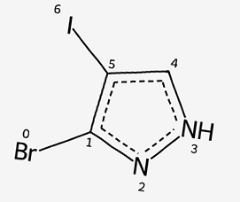 Brc1n[nH]cc1I